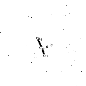 [Ni].[OH][Co][OH].[Zn]